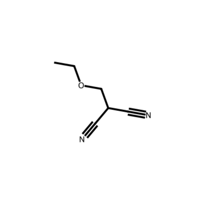 CCOCC(C#N)C#N